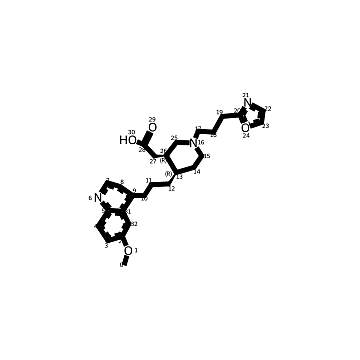 COc1ccc2nccc(CCC[C@@H]3CCN(CCCc4ncco4)C[C@@H]3CC(=O)O)c2c1